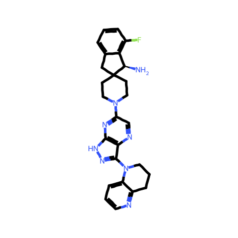 N[C@@H]1c2c(F)cccc2CC12CCN(c1cnc3c(N4CCCc5ncccc54)n[nH]c3n1)CC2